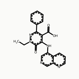 CCn1nc(-c2ccccc2)c(C(=O)O)c(Nc2cncc3ncccc23)c1=O